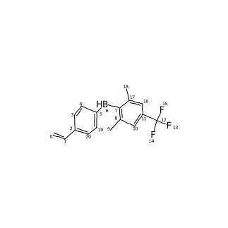 C=Cc1ccc(Bc2c(C)cc(C(F)(F)F)cc2C)cc1